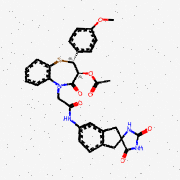 COc1ccc([C@H]2Sc3ccccc3N(CC(=O)Nc3ccc4c(c3)CC3(C4)NC(=O)NC3=O)C(=O)[C@@H]2OC(C)=O)cc1